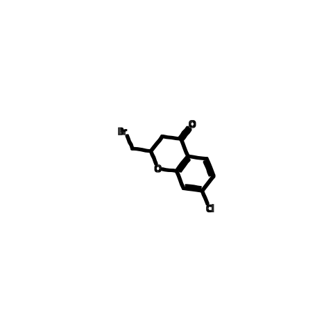 O=C1CC(CBr)Oc2cc(Cl)ccc21